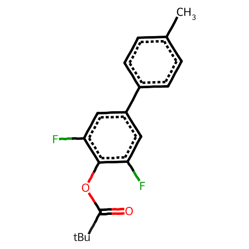 Cc1ccc(-c2cc(F)c(OC(=O)C(C)(C)C)c(F)c2)cc1